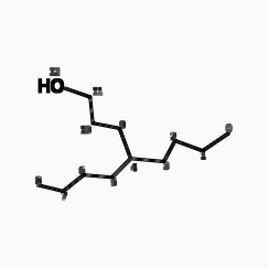 CCCCC(CCCC)CCCO